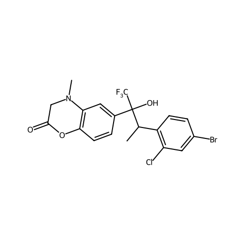 CC(c1ccc(Br)cc1Cl)C(O)(c1ccc2c(c1)N(C)CC(=O)O2)C(F)(F)F